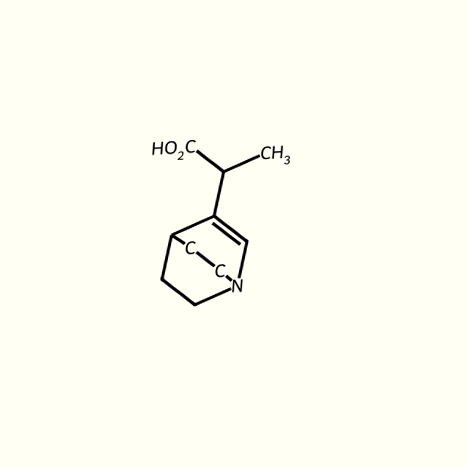 CC(C(=O)O)C1=CN2CCC1CC2